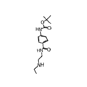 CCNCCNC(=O)c1ccc(NC(=O)OC(C)(C)C)cc1